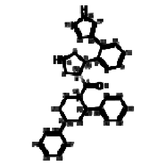 O=C([C@@H]1CNC[C@H]1c1ccccc1-c1cn[nH]c1)N1CC[C@H](c2ccccc2)C[C@@H]1c1ccccc1